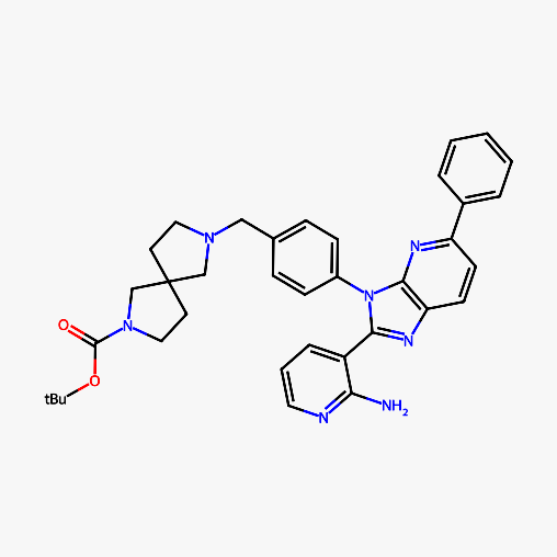 CC(C)(C)OC(=O)N1CCC2(CCN(Cc3ccc(-n4c(-c5cccnc5N)nc5ccc(-c6ccccc6)nc54)cc3)C2)C1